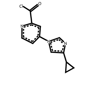 O=C(Cl)c1cc(-n2cnc(C3CC3)c2)ccn1